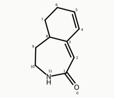 O=C1C=C2C=CCCC2CCN1